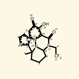 CC1(c2nccs2)CCCC2N(CC(F)(F)F)C(=O)c3c(O)c(=O)ccn3N21